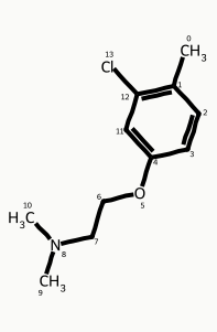 Cc1ccc(OCCN(C)C)cc1Cl